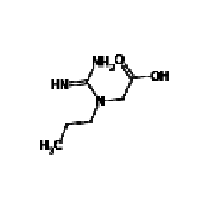 CCCN(CC(=O)O)C(=N)N